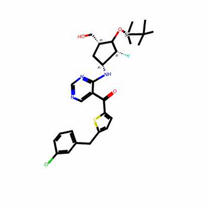 CC(C)(C)[Si](C)(C)OC1[C@@H](CO)C[C@@H](Nc2ncncc2C(=O)c2ccc(Cc3cccc(Cl)c3)s2)[C@H]1F